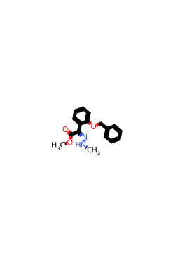 CNN=C(C(=O)OC)c1ccccc1OCc1ccccc1